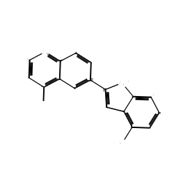 CC(C)(C)c1ccnc2ccc(-c3cc4c(C(C)(C)C)cccc4[nH]3)cc12